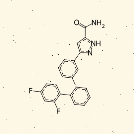 NC(=O)c1cc(-c2cccc(-c3ccccc3-c3ccc(F)cc3F)c2)n[nH]1